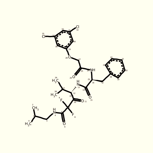 CC(C)CNC(=O)C(F)(F)C(=O)[C@@H](NC(=O)[C@H](Cc1ccccc1)NC(=O)COc1cc(Cl)cc(Cl)c1)C(C)C